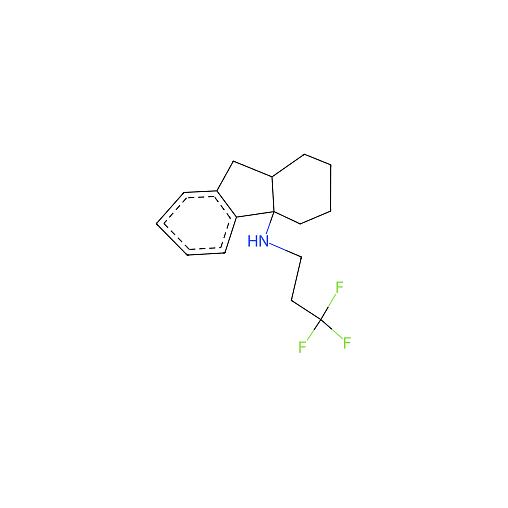 FC(F)(F)CCNC12CCCCC1Cc1ccccc12